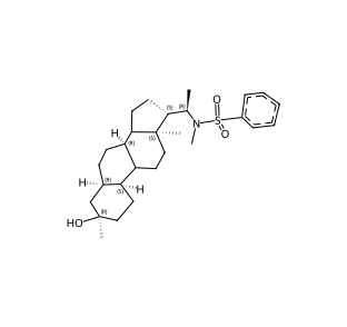 C[C@H]([C@H]1CCC2[C@@H]3CC[C@@H]4C[C@](C)(O)CC[C@@H]4C3CC[C@@]21C)N(C)S(=O)(=O)c1ccccc1